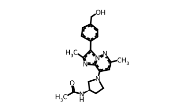 CC(=O)N[C@@H]1CCN(c2cc(C)nn3c(-c4ccc(CO)cc4)c(C)nc23)C1